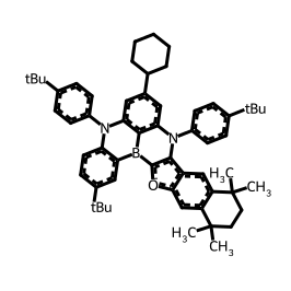 CC(C)(C)c1ccc(N2c3ccc(C(C)(C)C)cc3B3c4oc5cc6c(cc5c4N(c4ccc(C(C)(C)C)cc4)c4cc(C5CCCCC5)cc2c43)C(C)(C)CCC6(C)C)cc1